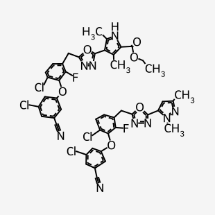 CCOC(=O)c1[nH]c(C)c(-c2nnc(Cc3ccc(Cl)c(Oc4cc(Cl)cc(C#N)c4)c3F)o2)c1C.Cc1cc(-c2nnc(Cc3ccc(Cl)c(Oc4cc(Cl)cc(C#N)c4)c3F)o2)n(C)n1